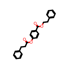 O=C(CCc1ccccc1)Oc1ccc(C(=O)OCCc2ccccc2)cc1